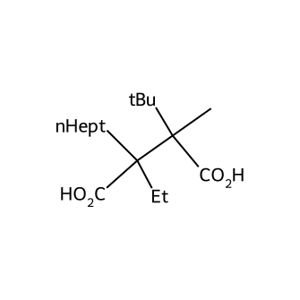 CCCCCCCC(CC)(C(=O)O)C(C)(C(=O)O)C(C)(C)C